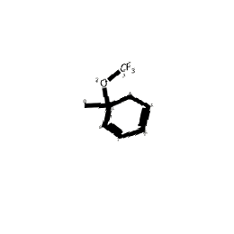 CC1(OC(F)(F)F)[CH]C=CC=C1